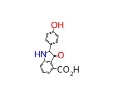 O=C(O)c1cccc2c1C(=O)C(c1ccc(O)cc1)N2